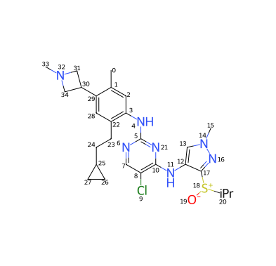 Cc1cc(Nc2ncc(Cl)c(Nc3cn(C)nc3[S+]([O-])C(C)C)n2)c(CCC2CC2)cc1C1CN(C)C1